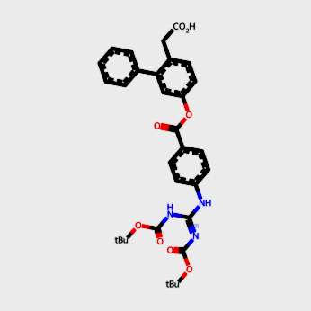 CC(C)(C)OC(=O)/N=C(\NC(=O)OC(C)(C)C)Nc1ccc(C(=O)Oc2ccc(CC(=O)O)c(-c3ccccc3)c2)cc1